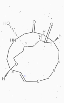 O=C1CNCC[C@H]2/C=C/CCSSC[C@@H](N1)C(=O)NC[C@@H](O)CCO2